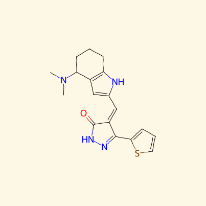 CN(C)C1CCCc2[nH]c(C=C3C(=O)NN=C3c3cccs3)cc21